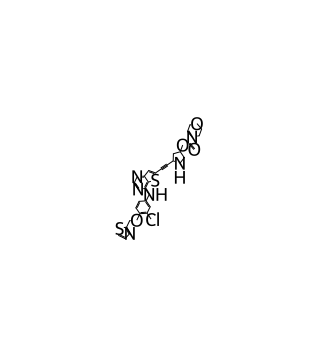 O=C(OC1CNC(C#Cc2cc3ncnc(Nc4ccc(OCc5nccs5)c(Cl)c4)c3s2)C1)N1CCOCC1